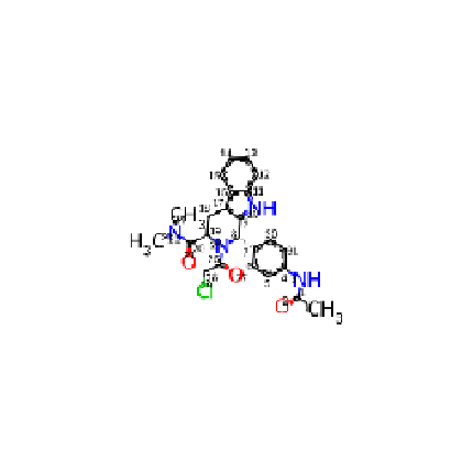 CC(=O)Nc1ccc([C@H]2c3[nH]c4ccccc4c3C[C@H](C(=O)N(C)C)N2C(=O)CCl)cc1